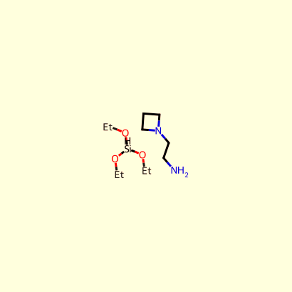 CCO[SiH](OCC)OCC.NCCN1CCC1